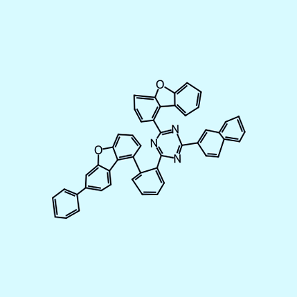 c1ccc(-c2ccc3c(c2)oc2cccc(-c4ccccc4-c4nc(-c5ccc6ccccc6c5)nc(-c5cccc6oc7ccccc7c56)n4)c23)cc1